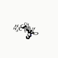 C[C@@H](NC(=O)c1cc2c(s1)NC(=O)/C2=C/c1ccc[nH]1)C(C)(C)C